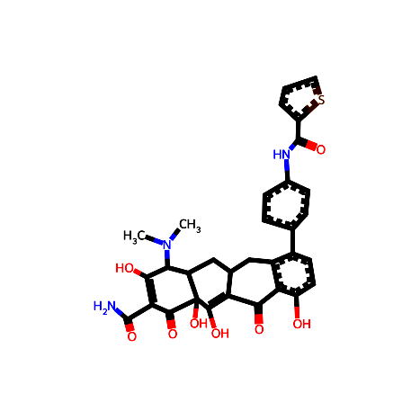 CN(C)C1C(O)=C(C(N)=O)C(=O)C2(O)C(O)=C3C(=O)c4c(O)ccc(-c5ccc(NC(=O)c6cccs6)cc5)c4CC3CC12